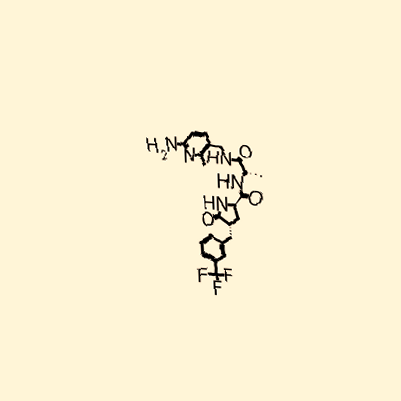 Cc1nc(N)ccc1CNC(=O)[C@H](C)NC(=O)[C@H]1C[C@H](Cc2cccc(C(F)(F)F)c2)C(=O)N1